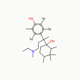 [2H]c1c([2H])c(C(C)(CCN(C)CC)C2(O)CCC(C)C(C)(C)C2C)c([2H])c(C)c1O